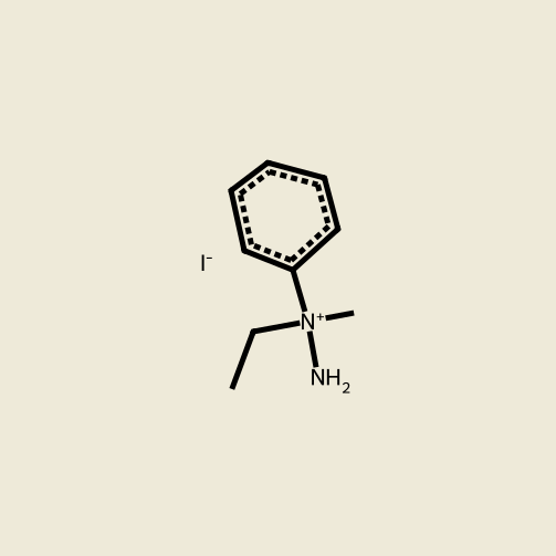 CC[N+](C)(N)c1ccccc1.[I-]